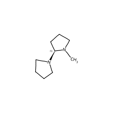 CN1CCC[C@@H]1N1CCCC1